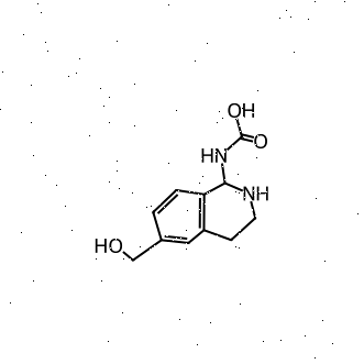 O=C(O)NC1NCCc2cc(CO)ccc21